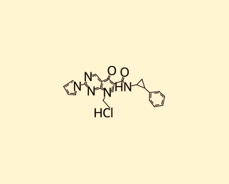 CCn1cc(C(=O)NC2CC2c2ccccc2)c(=O)c2cnc(-n3cccc3)nc21.Cl